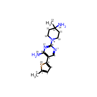 Cc1ccc(-c2cnc(N3CCC(C)(N)CC3)nc2N)s1